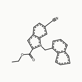 CCOC(=O)c1cc2ccc(C#N)cc2n1Cc1cccc2ccccc12